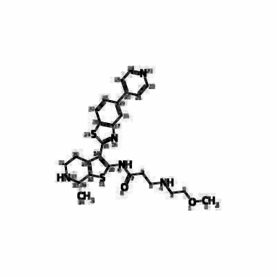 COCCNCCC(=O)Nc1sc2c(c1-c1nc3cc(-c4ccncc4)ccc3s1)CCN[C@H]2C